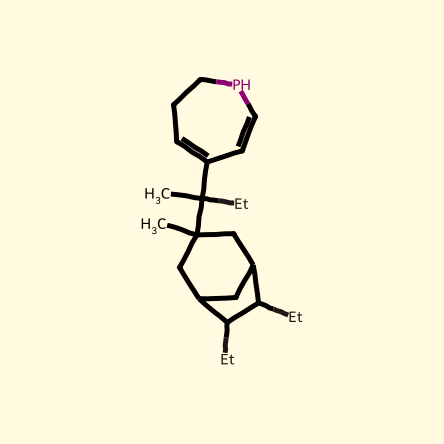 CCC1C2CC(CC(C)(C(C)(CC)C3=CCCPC=C3)C2)C1CC